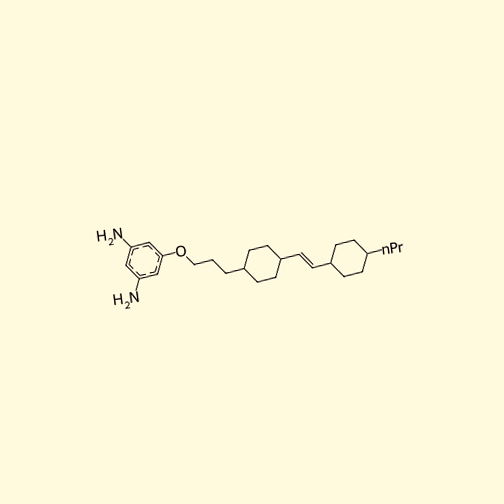 CCCC1CCC(/C=C/C2CCC(CCCOc3cc(N)cc(N)c3)CC2)CC1